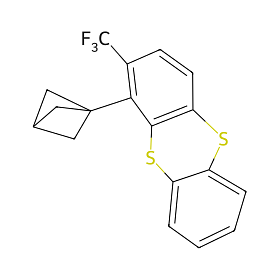 FC(F)(F)c1ccc2c(c1C13CC(C1)C3)Sc1ccccc1S2